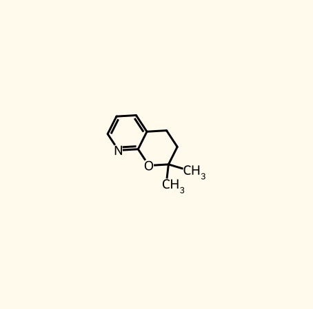 CC1(C)CCc2cccnc2O1